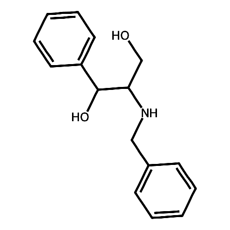 OCC(NCc1ccccc1)C(O)c1ccccc1